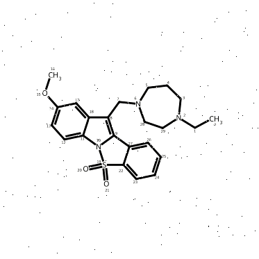 CCN1CCCN(Cc2c3n(c4ccc(OC)cc24)S(=O)(=O)c2ccccc2-3)CC1